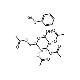 CC(=O)OC[C@H]1O[C@@H](O)[C@H](OC(C)=O)[C@@H](OC(C)=O)[C@@H]1OC(C)=O.[Se]Sc1ccccc1